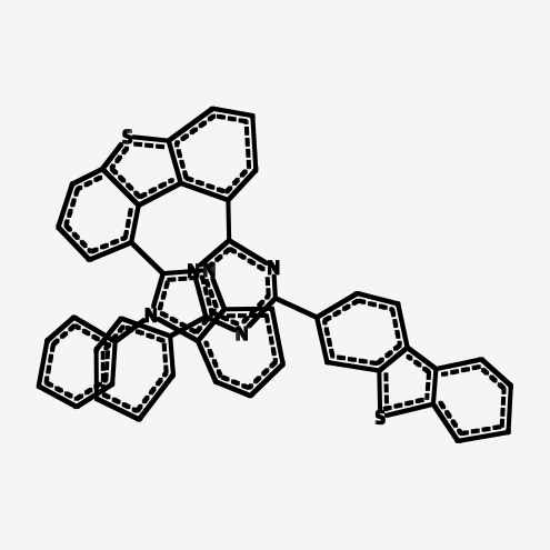 c1ccc(-c2nc(-c3ccc4c(c3)sc3ccccc34)nc(-c3cccc4sc5cccc(-c6nc7ccccc7n6-c6ccccc6)c5c34)n2)cc1